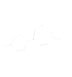 CCOC(=O)N1CCCC(N2CCC(C(C)=O)CC2)CC1